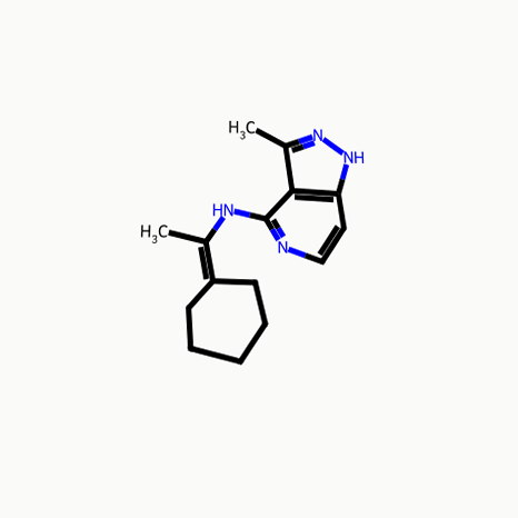 CC(Nc1nccc2[nH]nc(C)c12)=C1CCCCC1